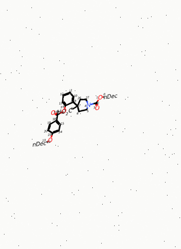 CCCCCCCCCCOC(=O)N1CCC(C(=O)O)(c2ccccc2OC(=O)c2ccc(OCCCCCCCCCC)cc2)CC1